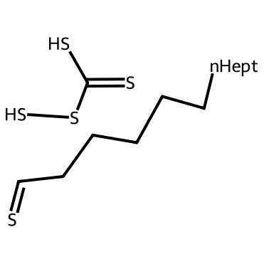 CCCCCCCCCCCCC=S.S=C(S)SS